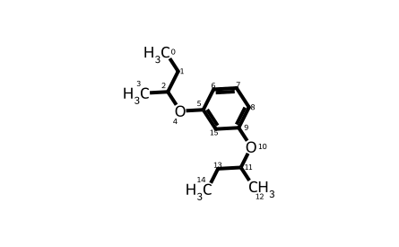 CCC(C)Oc1cccc(OC(C)CC)c1